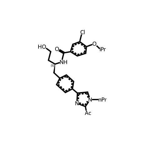 CCCn1cc(-c2ccc(C[C@@H](CCO)NC(=O)c3ccc(OC(C)C)c(Cl)c3)cc2)nc1C(C)=O